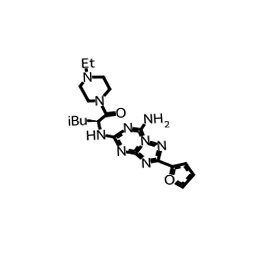 CCC(C)[C@H](Nc1nc(N)n2nc(-c3ccco3)nc2n1)C(=O)N1CCN(CC)CC1